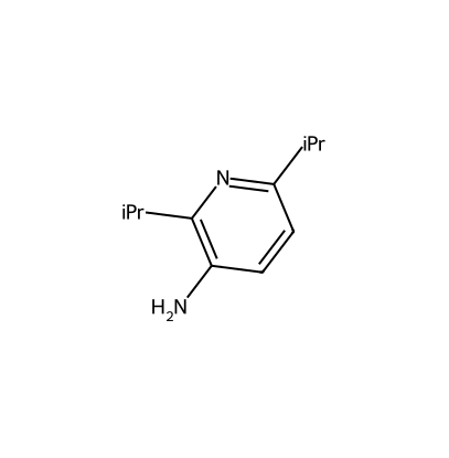 CC(C)c1ccc(N)c(C(C)C)n1